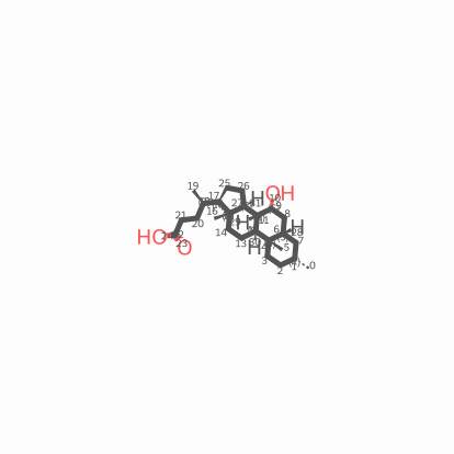 C[C@@H]1CC[C@@]2(C)[C@@H](C1)C[C@H](O)[C@@H]1[C@@H]2CC[C@]2(C)[C@@H]([C@H](C)CCC(=O)O)CC[C@@H]12